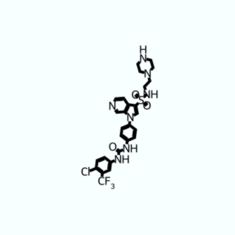 O=C(Nc1ccc(-n2cc(S(=O)(=O)NCCN3CCNCC3)c3ccncc32)cc1)Nc1ccc(Cl)c(C(F)(F)F)c1